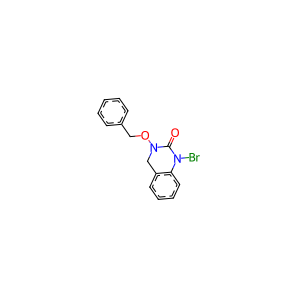 O=C1N(OCc2ccccc2)Cc2ccccc2N1Br